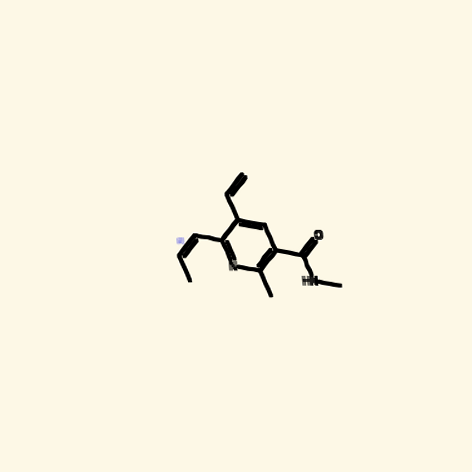 C=Cc1cc(C(=O)NC)c(C)nc1/C=C\C